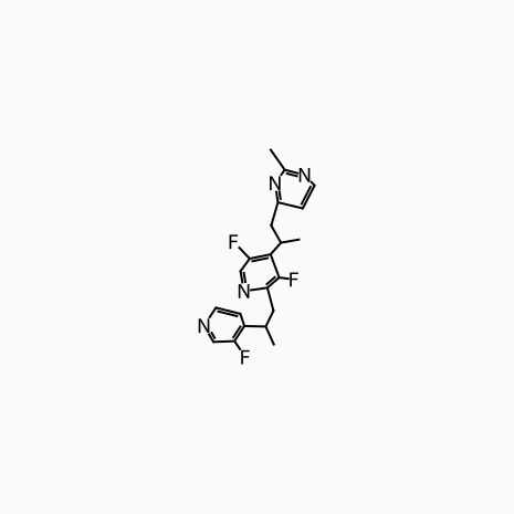 Cc1nccc(CC(C)c2c(F)cnc(CC(C)c3ccncc3F)c2F)n1